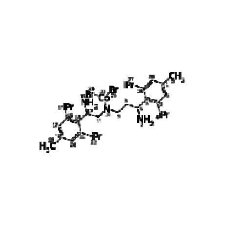 Cc1cc(C(C)C)c(C(N)CC[N](CC(N)c2c(C(C)C)cc(C)cc2C(C)C)[Co]([Br])[Br])c(C(C)C)c1